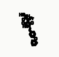 CC(C)[C@H](C(=O)NO)N1C(=O)N[C@@H](CCc2ccc(Oc3ccccc3)cc2)C1=O